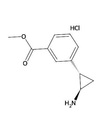 COC(=O)c1cccc([C@@H]2C[C@H]2N)c1.Cl